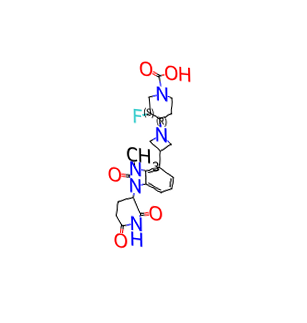 Cn1c(=O)n(C2CCC(=O)NC2=O)c2cccc(C3CN([C@@H]4CCN(C(=O)O)C[C@@H]4F)C3)c21